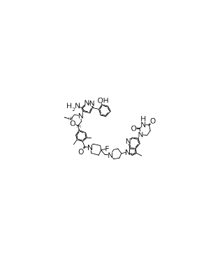 Cc1cc([C@@H]2CN(c3cc(-c4ccccc4O)nnc3N)C[C@H](C)O2)cc(C)c1C(=O)N1CCC(F)(CN2CCC(n3cc(C)c4cc(N5CCC(=O)NC5=O)cnc43)CC2)CC1